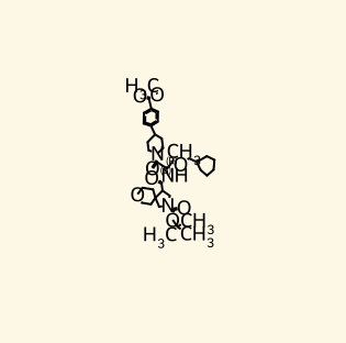 COC(=O)c1ccc(C2CCN(C(=O)[C@@H](NC(=O)C3CN(C(=O)OC(C)(C)C)CC34CCOCC4)[C@@H](C)OCC3CCCCC3)CC2)cc1